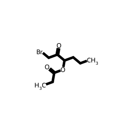 CCCC(OC(=O)CC)C(=O)CBr